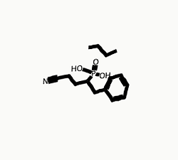 CCCC.N#CCCC(Cc1ccccc1)P(=O)(O)O